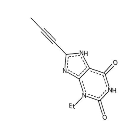 CC#Cc1nc2c([nH]1)c(=O)[nH]c(=O)n2CC